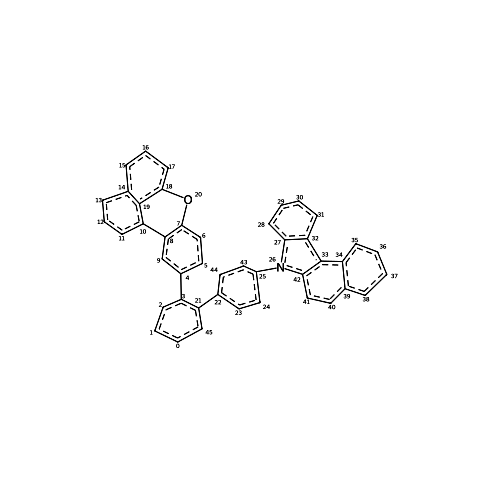 c1ccc(-c2ccc3c(c2)-c2cccc4cccc(c24)O3)c(-c2ccc(-n3c4ccccc4c4c5ccccc5ccc43)cc2)c1